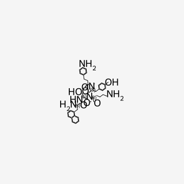 CN(C(=O)CCc1ccc(N)cc1)[C@@H](Cc1ccc(O)cc1)C(=O)N(C(=O)[C@H](CO)NC(=O)[C@@H](N)Cc1cccc2ccccc12)[C@@H]([C]=O)CCCCN